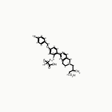 CC(CC(=O)O)CN1CCc2nc(-c3ccc(OCc4ccc(F)cc4)cc3F)ncc2C1.O=C(O)C(F)(F)F